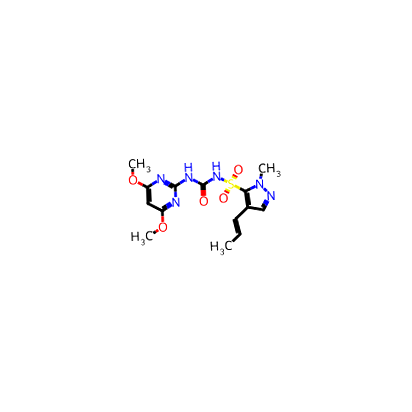 CC=Cc1cnn(C)c1S(=O)(=O)NC(=O)Nc1nc(OC)cc(OC)n1